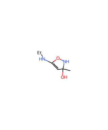 CCNC1=CC(C)(O)NO1